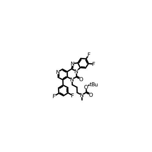 CN(CCCn1c(=O)n2c3cc(F)c(F)cc3nc2c2cncc(-c3cc(F)cc(F)c3)c21)C(=O)OC(C)(C)C